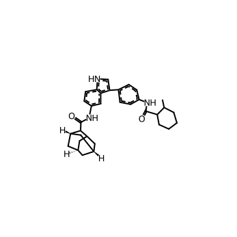 CC1CCCCC1C(=O)Nc1ccc(-c2c[nH]c3ccc(NC(=O)C4C5C[C@H]6C[C@@H](C5)C[C@@H]4C6)cc23)cc1